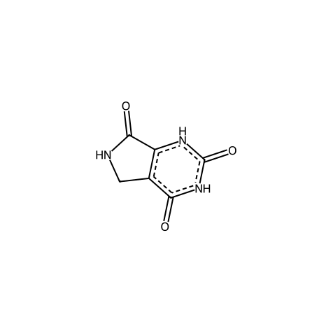 O=C1NCc2c1[nH]c(=O)[nH]c2=O